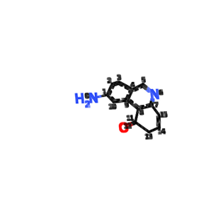 Nc1ccc2cnc3c(c2c1)C(=O)CC=C3